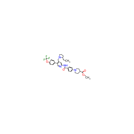 CCOC(=O)C1CCN(c2ccc(C(=O)Nc3cc(CN4CCC[C@H]4CC)c(-c4ccc(OC(F)(F)F)cc4)cn3)cc2)CC1